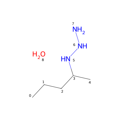 CCCC(C)NNN.O